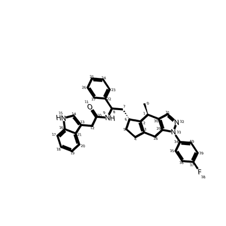 C[C@@H]1C2=C(CC[C@@H]2CC(NC(=O)Cc2c[nH]c3ccccc23)c2ccccc2)Cc2c1cnn2-c1ccc(F)cc1